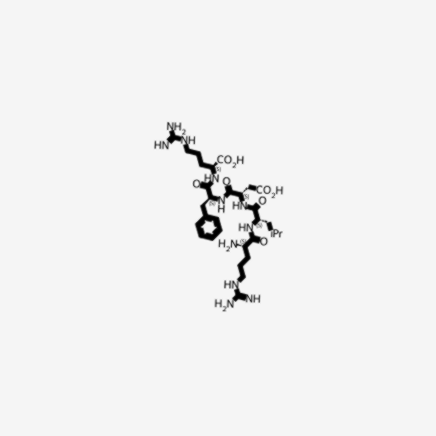 CC(C)C[C@H](NC(=O)[C@@H](N)CCCNC(=N)N)C(=O)N[C@@H](CC(=O)O)C(=O)N[C@@H](Cc1ccccc1)C(=O)N[C@@H](CCCNC(=N)N)C(=O)O